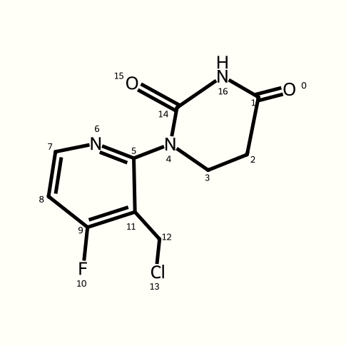 O=C1CCN(c2nccc(F)c2CCl)C(=O)N1